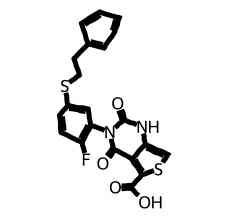 O=C(O)c1scc2[nH]c(=O)n(-c3cc(SCCc4ccccc4)ccc3F)c(=O)c12